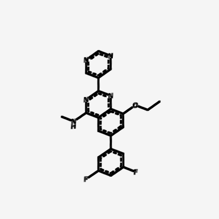 CCOc1cc(-c2cc(F)cc(F)c2)cc2c(NC)nc(-c3cncnc3)nc12